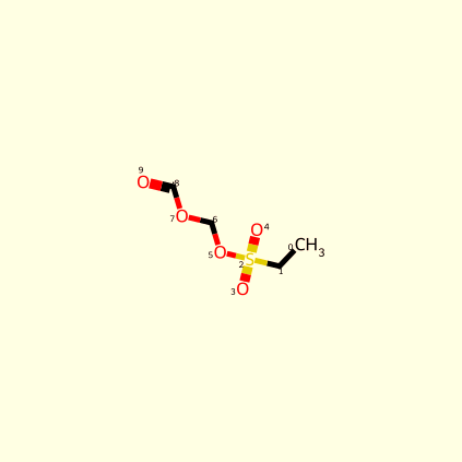 CCS(=O)(=O)OCO[C]=O